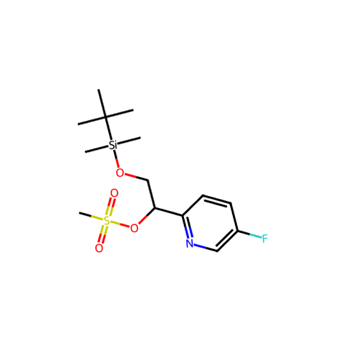 CC(C)(C)[Si](C)(C)OCC(OS(C)(=O)=O)c1ccc(F)cn1